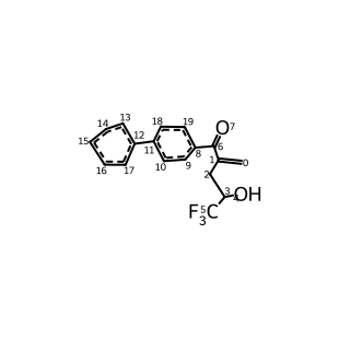 C=C(CC(O)C(F)(F)F)C(=O)c1ccc(-c2ccccc2)cc1